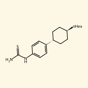 CCCCCC[C@H]1CC[C@H](c2ccc(NC(N)=S)cc2)CC1